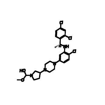 COC(O)N1CCC(N2CCN(c3ccc(Cl)c(N[C@H](C)c4ccc(Cl)cc4Cl)c3)CC2)C1